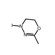 CC1=NN(I)CCO1